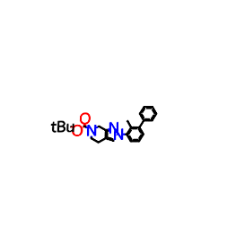 Cc1c(-c2ccccc2)cccc1-n1cc2c(n1)CN(C(=O)OC(C)(C)C)CC2